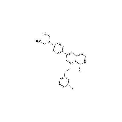 CCN(CC)c1ccc(-c2cc(CCc3cccc(Br)c3)c3c(N)ncnc3n2)cc1